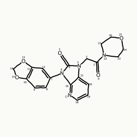 O=C(Cn1c(=O)n(-c2ccc3c(c2)OCO3)c2ncccc21)N1CCOCC1